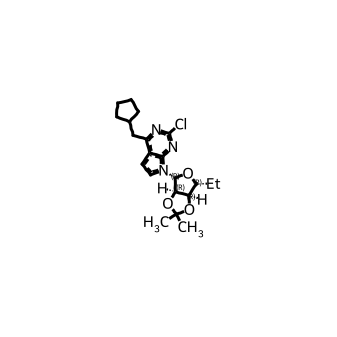 CC[C@H]1O[C@@H](n2ccc3c(CC4CCCC4)nc(Cl)nc32)[C@@H]2OC(C)(C)O[C@@H]21